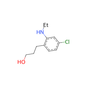 CCNc1cc(Cl)ccc1CCCO